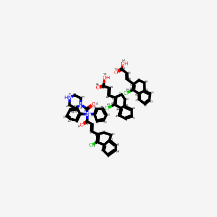 O=C(C=CC1=C(Cl)c2ccccc2CC1)[N+](C(=O)N1CCNCC1)(c1ccccc1)c1ccccc1.O=C(O)C=CC1=C(Cl)c2ccccc2CC1.O=C(O)C=CC1=C(Cl)c2ccccc2CC1